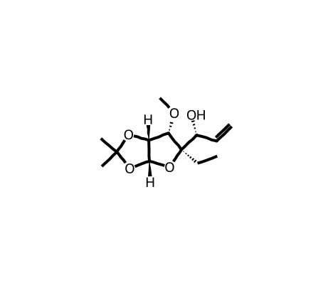 C=C[C@@H](O)[C@@]1(CC)O[C@@H]2OC(C)(C)O[C@@H]2[C@@H]1OC